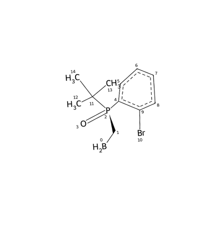 BC[P@](=O)(c1ccccc1Br)C(C)(C)C